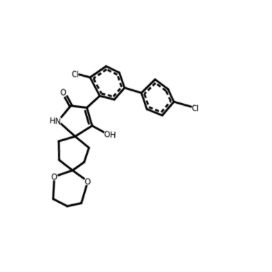 O=C1NC2(CCC3(CC2)OCCCO3)C(O)=C1c1cc(-c2ccc(Cl)cc2)ccc1Cl